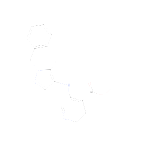 COC(=O)c1ccncc1Nc1cnn(Cc2ccccc2)c1C